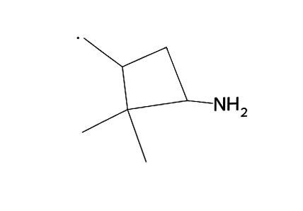 [CH2]C1CC(N)C1(C)C